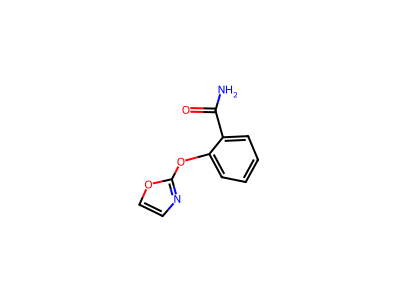 NC(=O)c1ccccc1Oc1ncco1